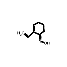 C=CC1=CCCCC1=NO